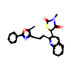 Cc1oc(-c2ccccc2)nc1CCc1nc2ccccc2cc1C1SC(=O)N(C)C1=O